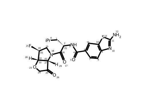 CC(C)C[C@H](NC(=O)c1ccc2nc(N)sc2c1)C(=O)N1C[C@H](F)[C@H]2OCC(=O)[C@H]21